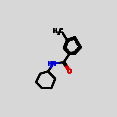 Cc1cccc(C(=O)NC2CCCCC2)c1